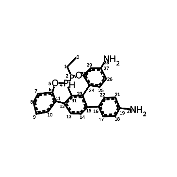 CC[PH](=O)P1Oc2ccccc2-c2ccc(-c3ccc(N)cc3)c(-c3ccc(N)cc3)c21